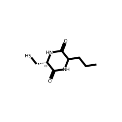 CCCC1NC(=O)[C@H](CS)NC1=O